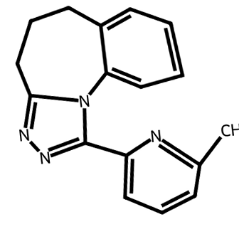 Cc1cccc(-c2nnc3n2-c2ccccc2CCC3)n1